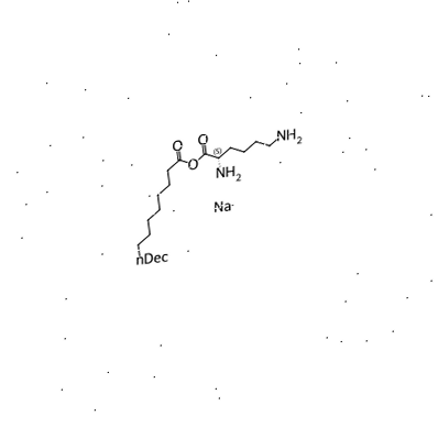 CCCCCCCCCCCCCCCCCC(=O)OC(=O)[C@@H](N)CCCCN.[Na]